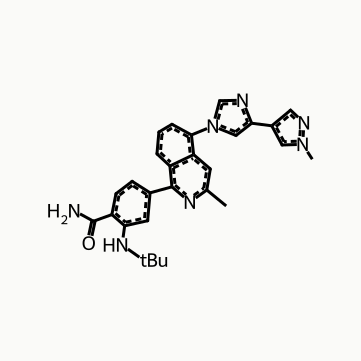 Cc1cc2c(-n3cnc(-c4cnn(C)c4)c3)cccc2c(-c2ccc(C(N)=O)c(NC(C)(C)C)c2)n1